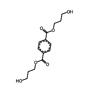 O=C(OCCCO)c1ccc(C(=O)OCCCO)cc1